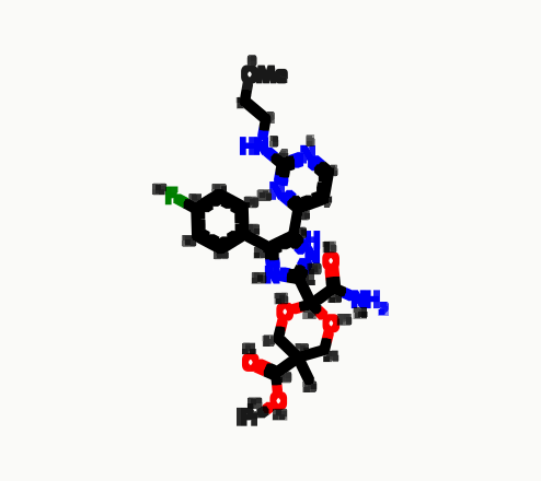 COCCNc1nccc(-c2[nH]c(C3(C(N)=O)OCC(C)(C(=O)OC(C)C)CO3)nc2-c2ccc(F)cc2)n1